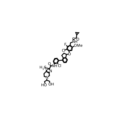 COc1cc(OC2CCc3c(-c4cccc(NC(=O)c5nc6c(n5C)CCN(C(CO)CO)C6)c4Cl)cccc32)c(Cl)c(F)c1CNOC(=O)C1CC1